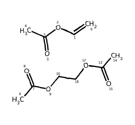 C=COC(C)=O.CC(=O)OCCOC(C)=O